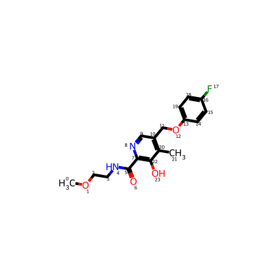 COCCNC(=O)c1ncc(COc2ccc(F)cc2)c(C)c1O